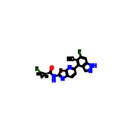 N#Cc1c(F)cc2[nH]ncc2c1-c1ccc2nc(NC(=O)[C@@H]3C[C@@H]3F)sc2n1